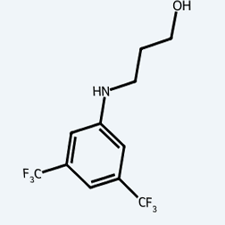 OCCCNc1cc(C(F)(F)F)cc(C(F)(F)F)c1